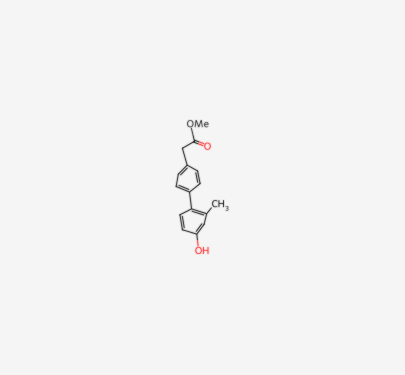 COC(=O)Cc1ccc(-c2ccc(O)cc2C)cc1